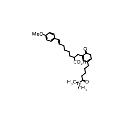 COc1ccc(/C=C/CCCCC(CC2=CC(CCCCC(=O)N(C)C)=CCC2=O)C(=O)O)cc1